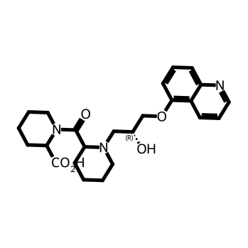 O=C(O)C1CCCCN1C(=O)C1CCCCN1C[C@@H](O)COc1cccc2ncccc12